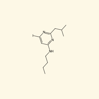 CCCCNc1cc(I)nc(CC(C)C)n1